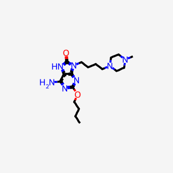 CCCCOc1nc(N)c2[nH]c(=O)n(CCCCN3CCN(C)CC3)c2n1